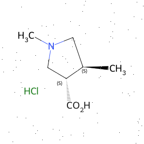 C[C@@H]1CN(C)C[C@H]1C(=O)O.Cl